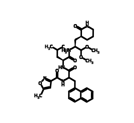 COC(OC)[C@H](C[C@@H]1CCCNC1=O)NC(=O)[C@H](CC(C)C)NC(=O)C(Cc1cccc2ccccc12)NC(=O)c1cc(C)on1